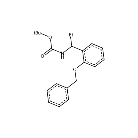 CCC(NC(=O)OC(C)(C)C)c1ccccc1OCc1ccccc1